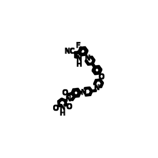 N#Cc1c[nH]c2c(N3CCC(c4ccc(OC5CCN(CC6CCN(c7ccc8c(c7)CN(C7CCC(=O)NC7=O)C8=O)CC6)CC5)cc4)CC3)ccc(F)c12